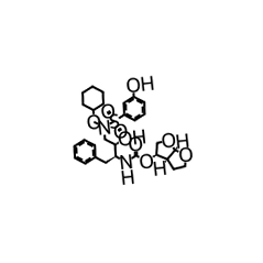 O=C(N[C@@H](Cc1ccccc1)[C@H](O)CN(OC1CCCCC1)S(=O)(=O)c1cccc(O)c1)O[C@H]1CO[C@H]2OCC[C@H]21